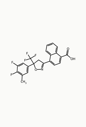 Cc1cc(C2(C(F)(F)F)CC(c3ccc(C(=O)O)c4ccccc34)=NO2)cc(F)c1F